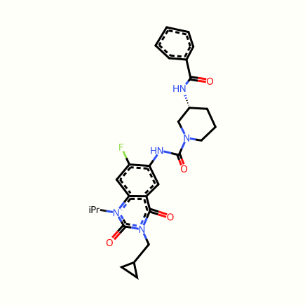 CC(C)n1c(=O)n(CC2CC2)c(=O)c2cc(NC(=O)N3CCC[C@@H](NC(=O)c4ccccc4)C3)c(F)cc21